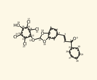 O=C(C=Cc1ccc2c(c1)OC(Oc1c(Cl)c(Cl)c(O)c(Cl)c1Cl)O2)c1ccccc1